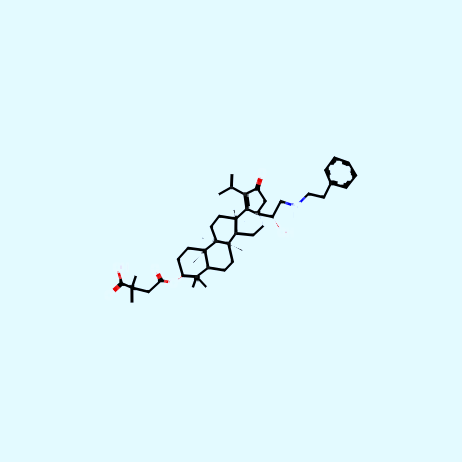 CC(C)C1=C2[C@H]3CC[C@@H]4[C@@]5(C)CC[C@H](OC(=O)CC(C)(C)C(=O)O)C(C)(C)C5CC[C@@]4(C)[C@]3(C)CC[C@@]2([C@H](O)CNCCc2ccccc2)CC1=O